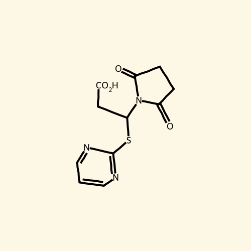 O=C(O)CC(Sc1ncccn1)N1C(=O)CCC1=O